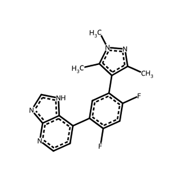 Cc1nn(C)c(C)c1-c1cc(-c2ccnc3nc[nH]c23)c(F)cc1F